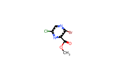 COC(=O)c1nc(Cl)cnc1Br